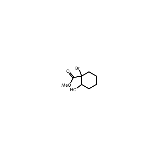 COC(=O)C1(Br)CCCCC1O